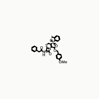 COc1ccc(COC(=O)C2=C(S(=O)(=O)c3ccccc3I)CSC3[C@H](NC(=O)Cc4ccccc4)C(=O)N23)cc1